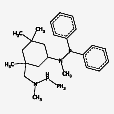 CN(CC1(C)CC(N(C)P(c2ccccc2)c2ccccc2)CC(C)(C)C1)PP